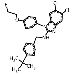 CC(C)(C)c1ccc(CNc2nc3cc(Cl)c(Cl)cc3n2-c2ccc(OCCF)cc2)cc1